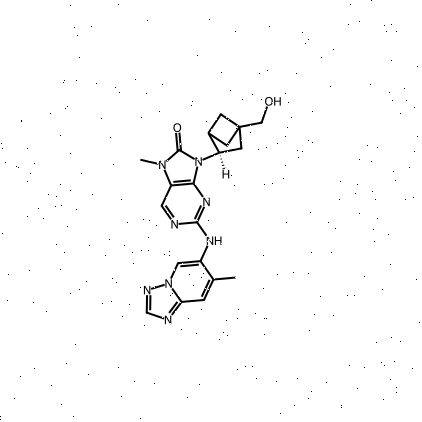 Cc1cc2ncnn2cc1Nc1ncc2c(n1)n([C@@H]1CC3(CO)CC1C3)c(=O)n2C